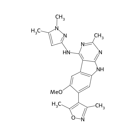 COc1cc2c(cc1-c1c(C)noc1C)[nH]c1nc(C)nc(Nc3cc(C)n(C)n3)c12